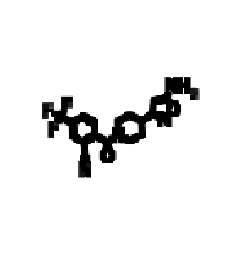 N#Cc1cc(C(F)(F)F)ccc1C(=O)N1CCC(c2cc(N)on2)CC1